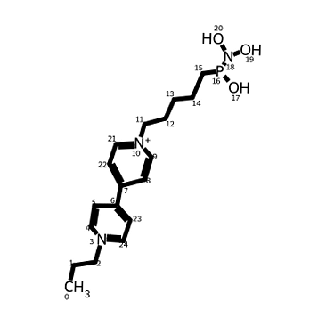 CCC[n+]1ccc(-c2cc[n+](CCCCCP(O)N(O)O)cc2)cc1